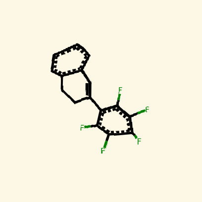 Fc1c(F)c(F)c(C2=Cc3ccccc3CC2)c(F)c1F